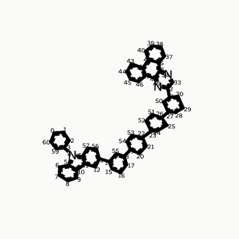 c1ccc(-n2c3ccccc3c3cc(-c4cccc(-c5ccc(-c6ccc(-c7cccc(-c8cnc9c%10ccccc%10c%10ccccc%10c9n8)c7)cc6)cc5)c4)ccc32)cc1